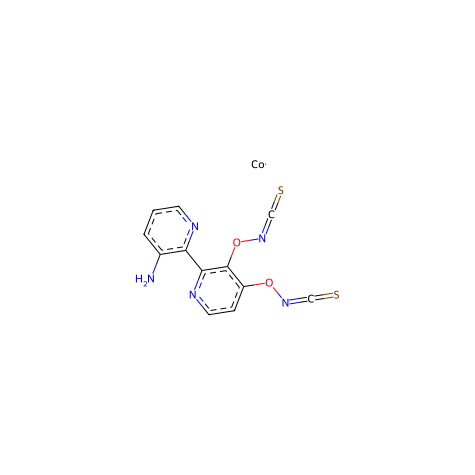 Nc1cccnc1-c1nccc(ON=C=S)c1ON=C=S.[Co]